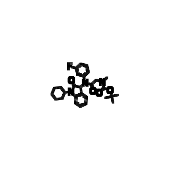 CN(CC(=O)N(c1cccc(F)c1)C1C(=O)N(C2CCCCC2)c2ccccc21)C(=O)OC(C)(C)C